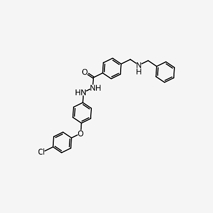 O=C(NNc1ccc(Oc2ccc(Cl)cc2)cc1)c1ccc(CNCc2ccccc2)cc1